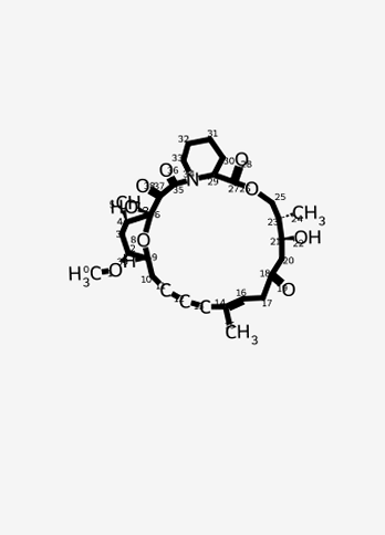 CO[C@H]1C[C@@H](C)[C@@]2(O)O[C@@H]1CCCC/C(C)=C/CC(=O)C[C@H](O)[C@@H](C)COC(=O)C1CCCCN1C(=O)C2=O